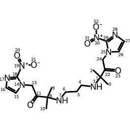 CC(C)(NCCCNC(C)(C)C(=O)Cn1ccnc1[N+](=O)[O-])C(=O)Cn1ccnc1[N+](=O)[O-]